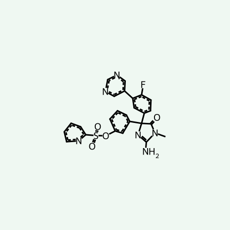 CN1C(=O)C(c2cccc(OS(=O)(=O)c3ccccn3)c2)(c2ccc(F)c(-c3cncnc3)c2)N=C1N